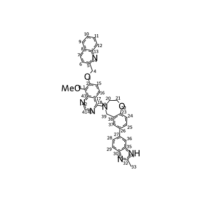 COc1c(OCc2ccc3ccccc3n2)ccc2c(N3CCOc4ccc(-c5ccc6nc(C)[nH]c6c5)cc4C3)ncnc12